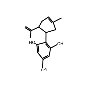 C=C(C)C1CC=C(C)CC1c1c(O)cc(CCC)cc1O